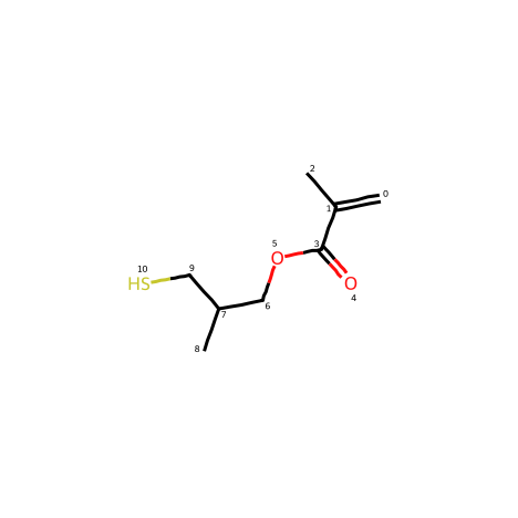 C=C(C)C(=O)OCC(C)CS